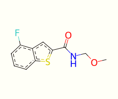 COCNC(=O)c1cc2c(F)cccc2s1